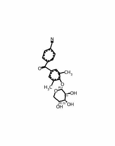 Cc1cc(C(=O)c2ccc(C#N)cc2)cc(C)c1O[C@H]1OC[C@@H](O)[C@H](O)[C@@H]1O